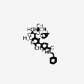 Cc1nc(C)c(C(OC(C)(C)C)C(=O)O)c(N2CC3CC3C2)c1-c1ccc(C(=O)NCc2ccccc2)cc1